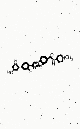 CN1CCC(NC(=O)c2ccc3c(c2)sc2nc(-c4ccc([C@@H]5C[C@@H](O)CN5)cc4F)cn23)CC1